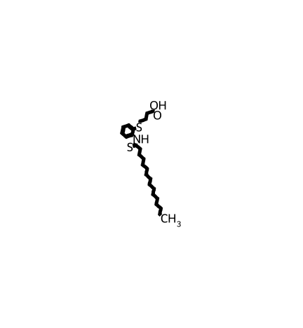 CCCCCCCCCCCCCCCC(=S)Nc1ccccc1SCCCC(=O)O